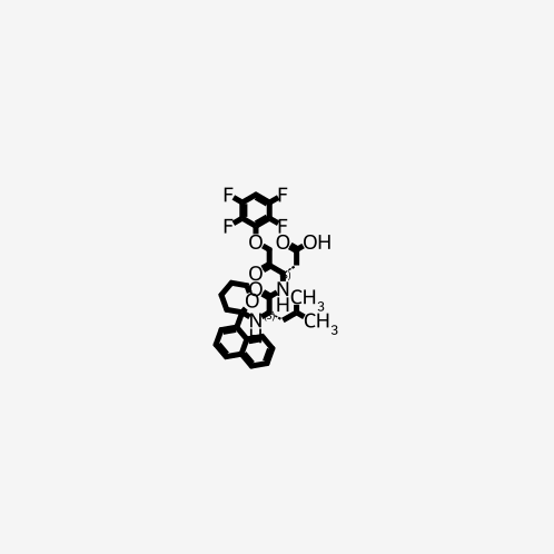 CC(C)C[C@H](NC1(c2cccc3ccccc23)CCCCO1)C(=O)N[C@@H](CC(=O)O)C(=O)COc1c(F)c(F)cc(F)c1F